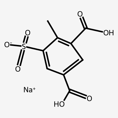 Cc1c(C(=O)O)cc(C(=O)O)cc1S(=O)(=O)[O-].[Na+]